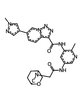 Cc1ncc(NC(=O)CN2CC3CCC2CO3)cc1NC(=O)c1nnn2cc(-c3cnn(C)c3)ccc12